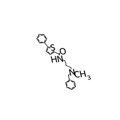 CN(CCCNC(=O)c1ccc(-c2ccccc2)s1)Cc1ccccc1